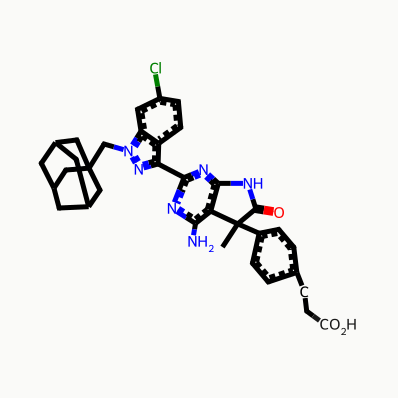 CC1(c2ccc(CCC(=O)O)cc2)C(=O)Nc2nc(-c3nn(CC45CC6CC(CC(C6)C4)C5)c4cc(Cl)ccc34)nc(N)c21